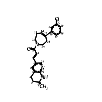 C=C1CCc2cc(/C=C/C(=O)N3CCC=C(c4cccc(Cl)c4)CC3)cnc2N1